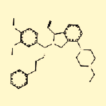 CCN1CCN(c2cccc3c2CN([C@H](CCCc2ccccc2)c2ccc(OC)c(OC)c2)C3C=O)CC1